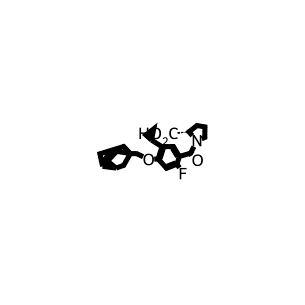 O=C(O)[C@@H]1CCCN1C(=O)c1cc(C2CC2)c(OCC23CC4CC(C2)C(C4)C3)cc1F